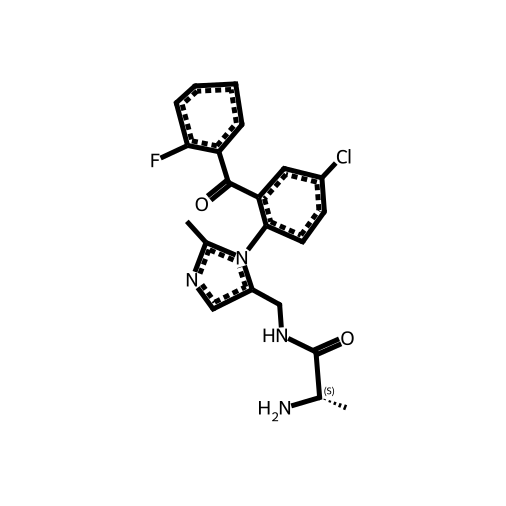 Cc1ncc(CNC(=O)[C@H](C)N)n1-c1ccc(Cl)cc1C(=O)c1ccccc1F